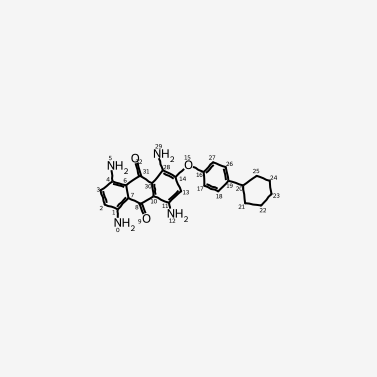 Nc1ccc(N)c2c1C(=O)c1c(N)cc(Oc3ccc(C4CCCCC4)cc3)c(N)c1C2=O